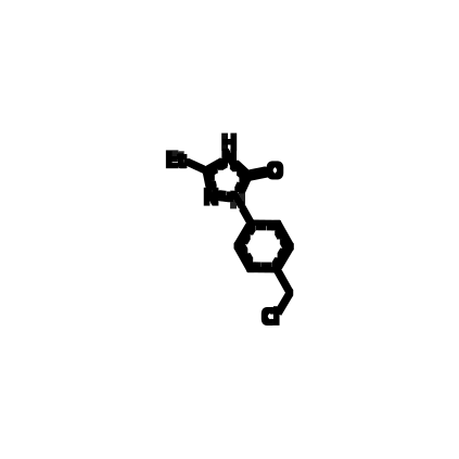 CCc1nn(-c2ccc(CCl)cc2)c(=O)[nH]1